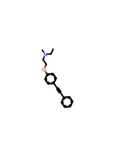 CCN(C)CCOc1ccc(C#Cc2ccccc2)cc1